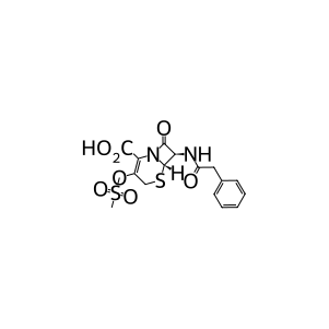 CS(=O)(=O)OC1=C(C(=O)O)N2C(=O)[C@@H](NC(=O)Cc3ccccc3)[C@@H]2SC1